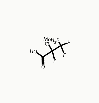 O=C(O)C(F)(Cl)C(F)(F)F.[MgH2]